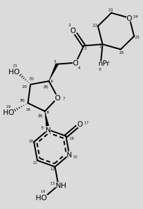 CCCC1(C(=O)OC[C@H]2O[C@@H](n3ccc(NO)nc3=O)[C@H](O)[C@@H]2O)CCOCC1